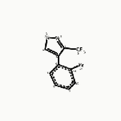 FC(F)(F)C1=N[N]C=C1c1ccccc1Br